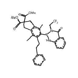 COC(=O)C1(C(=O)OC)Cc2c(C)c(CCc3ccccc3)c(B3Nc4ccccc4C(=O)N3CC(F)(F)F)c(C)c2C1